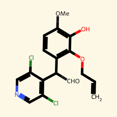 C=CCOc1c(C(C=O)c2c(Cl)cncc2Cl)ccc(OC)c1O